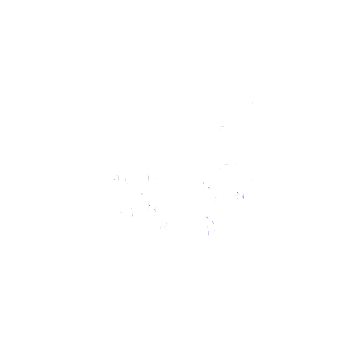 [2H]C([2H])([2H])n1ncc(Nc2ncc3cc(Cl)ccc3n2)c1C